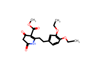 CCOc1ccc(CCC2=C(C(=O)OC)C(=O)CC(=O)N2)cc1OCC